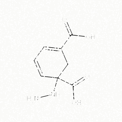 NNC1(C(=O)O)C=CC=C(C(=O)O)C1